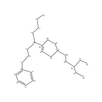 CCCCC(CCCc1ccccc1)C1=CCC(CCC(CC)CC)CC1